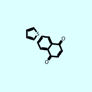 O=C1C=CC(=O)c2ccccc21.c1ccsc1